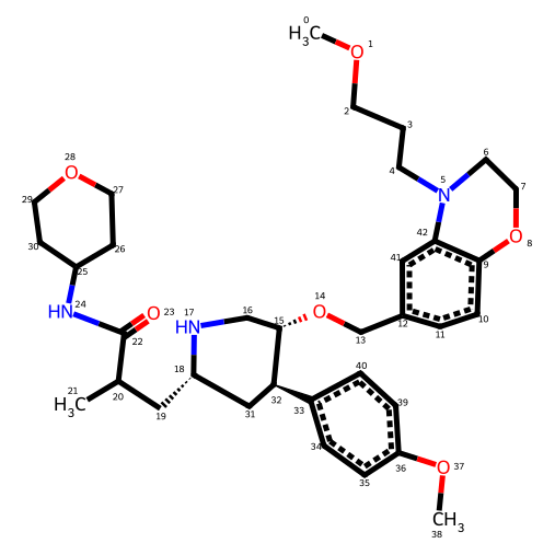 COCCCN1CCOc2ccc(CO[C@H]3CN[C@@H](CC(C)C(=O)NC4CCOCC4)C[C@@H]3c3ccc(OC)cc3)cc21